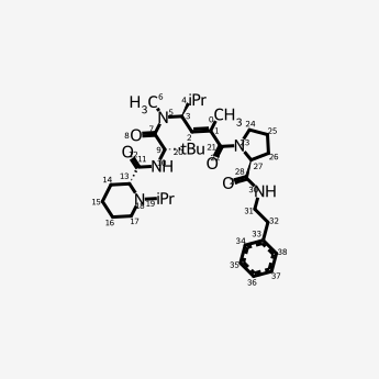 C/C(=C\[C@H](C(C)C)N(C)C(=O)[C@@H](NC(=O)[C@H]1CCCCN1C(C)C)C(C)(C)C)C(=O)N1CCC[C@H]1C(=O)NCCc1ccccc1